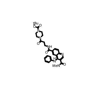 CNC(=O)c1cnc2ccc(C(=O)NCCC(=O)N3CCN(C(=O)OC(C)(C)C)CC3)cc2c1Nc1ccccc1